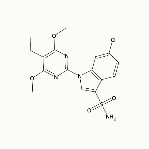 CCc1c(OC)nc(-n2cc(S(N)(=O)=O)c3ccc(Cl)cc32)nc1OC